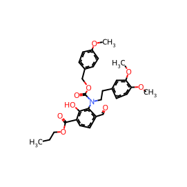 CCCOC(=O)c1ccc(C=O)c(N(CCc2ccc(OC)c(OC)c2)C(=O)OCc2ccc(OC)cc2)c1O